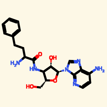 Nc1ccnc2c1ncn2[C@@H]1O[C@H](CO)C(NC(=O)C(N)CCc2ccccc2)[C@@H]1O